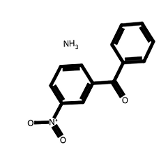 N.O=C(c1ccccc1)c1cccc([N+](=O)[O-])c1